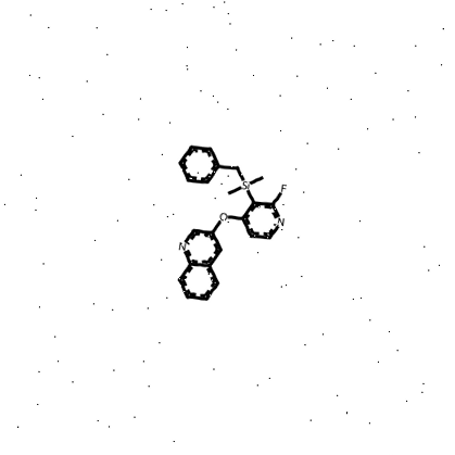 C[Si](C)(Cc1ccccc1)c1c(Oc2cnc3ccccc3c2)ccnc1F